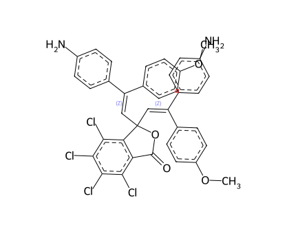 COc1ccc(/C(=C\C2(/C=C(/c3ccc(N)cc3)c3ccc(OC)cc3)OC(=O)c3c(Cl)c(Cl)c(Cl)c(Cl)c32)c2ccc(N)cc2)cc1